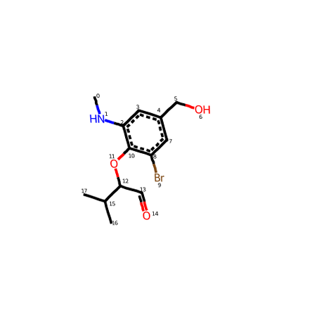 CNc1cc(CO)cc(Br)c1OC(C=O)C(C)C